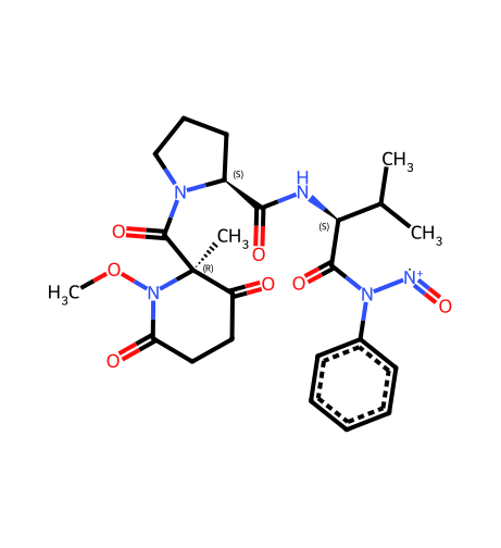 CON1C(=O)CCC(=O)[C@]1(C)C(=O)N1CCC[C@H]1C(=O)N[C@H](C(=O)N([N+]=O)c1ccccc1)C(C)C